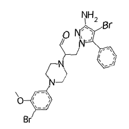 COc1cc(N2CCN(C(C=O)Cn3nc(N)c(Br)c3-c3ccccc3)CC2)ccc1Br